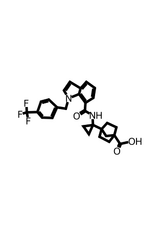 O=C(NC1(C23CCC(C(=O)O)(CC2)C3)CC1)c1cccc2ccn(Cc3ccc(C(F)(F)F)cc3)c12